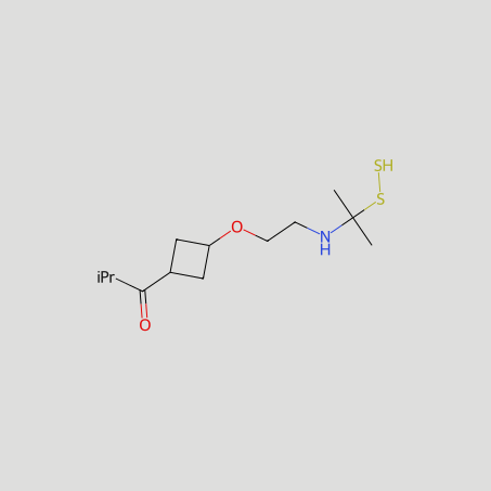 CC(C)C(=O)C1CC(OCCNC(C)(C)SS)C1